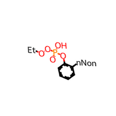 CCCCCCCCCc1ccccc1OP(=O)(O)OOCC